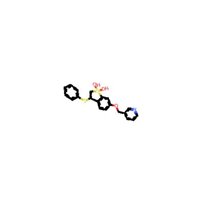 OS1(O)CC(Sc2ccccc2)c2ccc(OCc3cccnc3)cc21